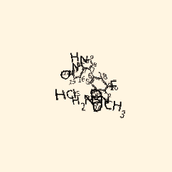 CN(Cc1ccc(-c2ccnc3[nH]c(=O)ccc23)cc1F)S(N)(=O)=O.Cl